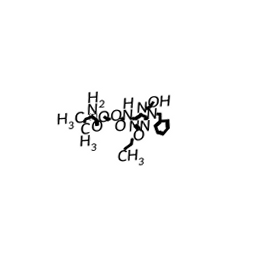 CCCCOc1nc(NC(=O)OCOC(=O)[C@@H](N)C(C)C)c2nc(O)n(Cc3ccccc3)c2n1